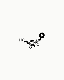 CC1C(=O)N(CCCO)CCN1C(=O)OCc1ccccc1